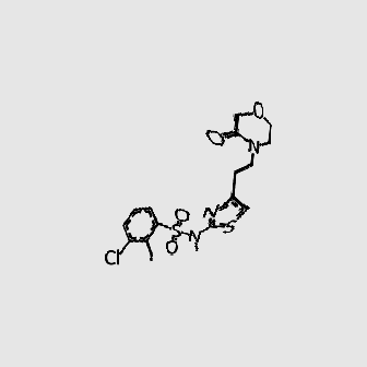 Cc1c(Cl)cccc1S(=O)(=O)N(C)c1nc(CCN2CCOCC2=O)cs1